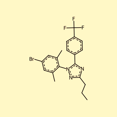 CCCc1nc(-c2ccc(C(F)(F)F)cc2)n(-c2c(C)cc(Br)cc2C)n1